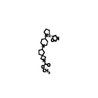 COC(=O)N1CC2(CCC(N3CCC(N4CCC[C@@H]4c4cnco4)CC3)C2)C1